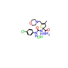 CC1=C(CN2CCOCC2)SC(NC(=O)Nc2ccc(Cl)cc2)(C(N)=O)C1.Cl